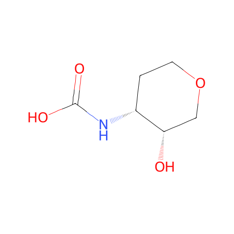 O=C(O)N[C@@H]1CCOC[C@@H]1O